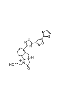 O=C1C[C@H]2Cc3c(-c4noc(-c5cc(-c6nccs6)on5)n4)cccc3[C@H]2N1CCO